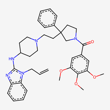 C=CCn1c(NC2CCN(CCC3(c4ccccc4)CCN(C(=O)c4cc(OC)c(OC)c(OC)c4)C3)CC2)nc2ccccc21